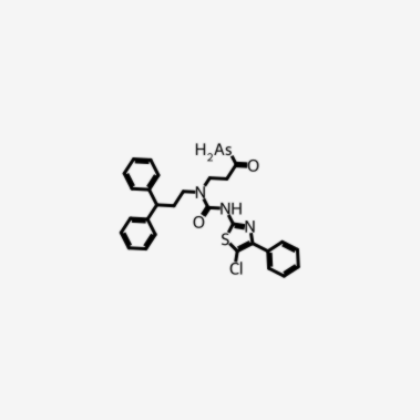 O=C([AsH2])CCN(CCC(c1ccccc1)c1ccccc1)C(=O)Nc1nc(-c2ccccc2)c(Cl)s1